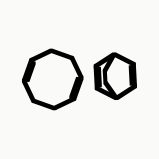 C1=CC2C=CC1CC2.C1=CCCC=CCC1